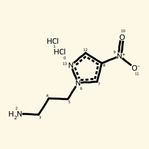 Cl.Cl.NCCCn1cc([N+](=O)[O-])cn1